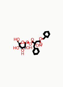 O=C(CC(O)(Cc1ccccc1)C(=O)OOC1O[C@H](CO)[C@@H](O)[C@H](O)[C@H]1O)OCc1ccccc1